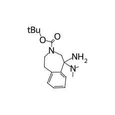 CN(C)C1(N)CN(C(=O)OC(C)(C)C)CCc2ccccc21